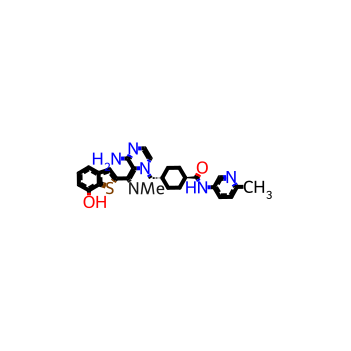 CN/C(=C1/C(N)=NC=CN1C[C@H]1CC[C@H](C(=O)Nc2ccc(C)nc2)CC1)c1cc2cccc(O)c2s1